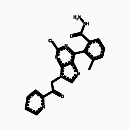 Cc1cccc(C(=O)NN)c1-c1nc(Cl)nc2c1ncn2CC(=O)c1ccccn1